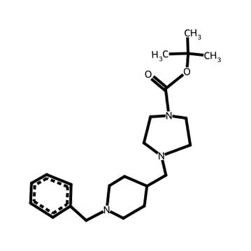 CC(C)(C)OC(=O)N1CCN(CC2CCN(Cc3ccccc3)CC2)CC1